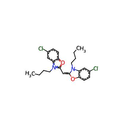 CCCCN1/C(=C\c2oc3ccc(Cl)cc3[n+]2CCCC)Oc2ccc(Cl)cc21